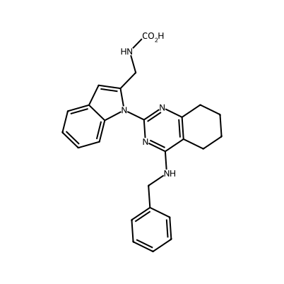 O=C(O)NCc1cc2ccccc2n1-c1nc2c(c(NCc3ccccc3)n1)CCCC2